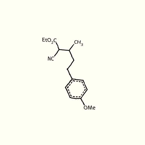 CCOC(=O)C(C#N)C(C)CCc1ccc(OC)cc1